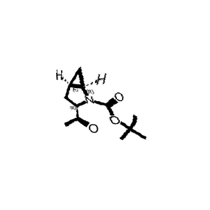 CC(=O)[C@H]1C[C@H]2C[C@H]2N1C(=O)OC(C)(C)C